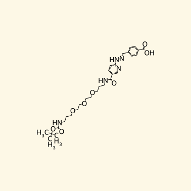 CC(C)(C)OC(=O)NCCCOCCOCCOCCCNC(=O)c1ccc(NN=Cc2ccc(C(=O)O)cc2)nc1